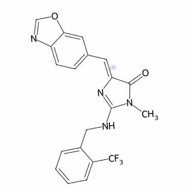 CN1C(=O)/C(=C/c2ccc3ncoc3c2)N=C1NCc1ccccc1C(F)(F)F